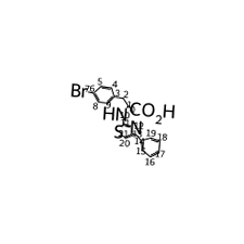 O=C(O)C(Cc1ccc(Br)cc1)Nc1nc(-c2ccccc2)cs1